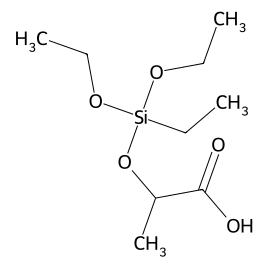 CCO[Si](CC)(OCC)OC(C)C(=O)O